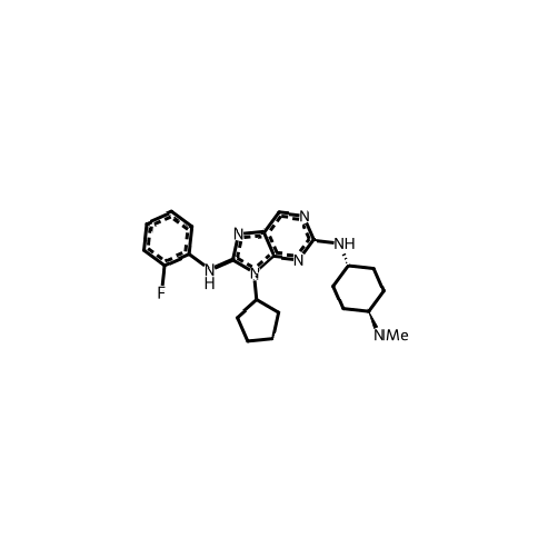 CN[C@H]1CC[C@H](Nc2ncc3nc(Nc4ccccc4F)n(C4CCCC4)c3n2)CC1